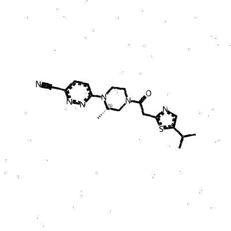 CC(C)c1cnc(CC(=O)N2CCN(c3ccc(C#N)nn3)[C@@H](C)C2)s1